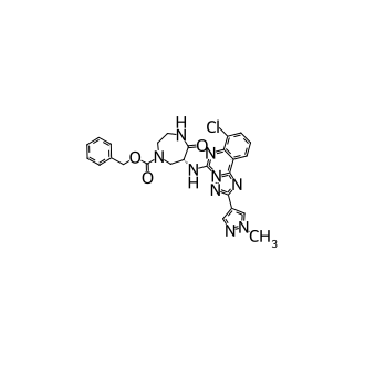 Cn1cc(-c2nc3c4cccc(Cl)c4nc(N[C@@H]4CN(C(=O)OCc5ccccc5)CCNC4=O)n3n2)cn1